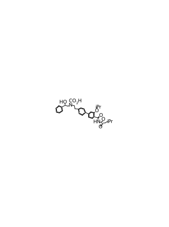 CC(C)CS(=O)(=O)NC(=O)c1ccc(-c2ccc(CCN(C[C@H](O)c3ccccc3)C(=O)O)cc2)cc1OC(C)C